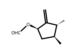 C=C1[C@H](OC=O)C[C@H](C)[C@H]1C